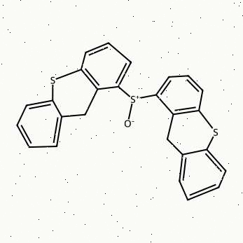 [O-][S+](c1cccc2c1Cc1ccccc1S2)c1cccc2c1Cc1ccccc1S2